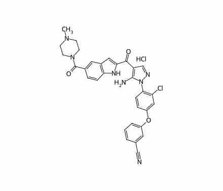 CN1CCN(C(=O)c2ccc3[nH]c(C(=O)c4cnn(-c5ccc(Oc6cccc(C#N)c6)cc5Cl)c4N)cc3c2)CC1.Cl